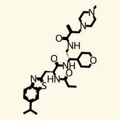 C=C(CN1CCN(C)CC1)C(=O)NC[C@@H](NC(=O)[C@H](Cc1nc2ccc(C(C)C)cc2s1)NC(=O)CC)C1CCOCC1